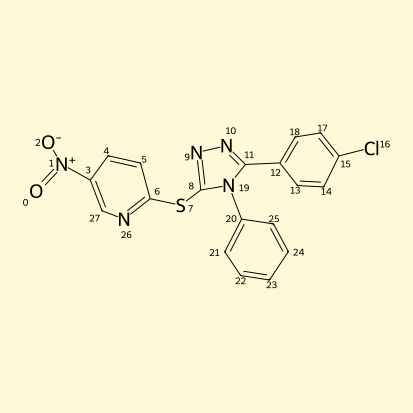 O=[N+]([O-])c1ccc(Sc2nnc(-c3ccc(Cl)cc3)n2-c2ccccc2)nc1